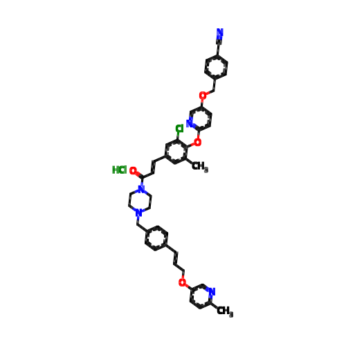 Cc1ccc(OC/C=C/c2ccc(CN3CCN(C(=O)/C=C/c4cc(C)c(Oc5ccc(OCc6ccc(C#N)cc6)cn5)c(Cl)c4)CC3)cc2)cn1.Cl